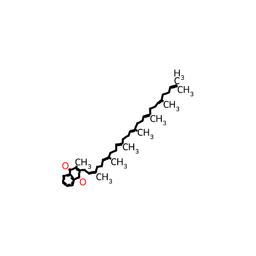 CC(C)=CCC/C(C)=C/CC/C(C)=C/CC/C(C)=C/CC/C(C)=C/CC/C(C)=C/CC/C(C)=C\CC1=C(C)C(=O)c2ccccc2C1=O